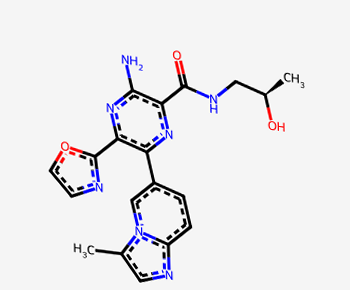 Cc1cnc2ccc(-c3nc(C(=O)NC[C@@H](C)O)c(N)nc3-c3ncco3)cn12